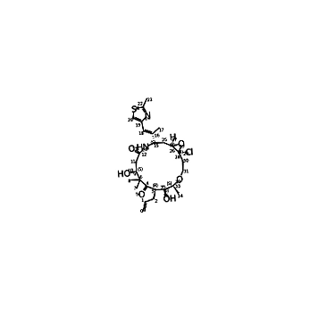 C=CC[C@H]1C(=O)C(C)(C)[C@@H](O)CC(=O)N[C@H](C(C)=Cc2csc(C)n2)C[C@H]2O[C@@]2(Cl)CCO[C@@H](C)[C@H]1O